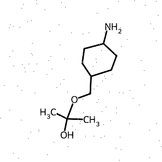 CC(C)(O)OCC1CCC(N)CC1